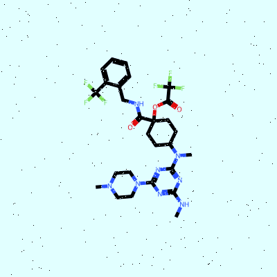 CNc1nc(N2CCN(C)CC2)nc(N(C)C2CCC(OC(=O)C(F)(F)F)(C(=O)NCc3ccccc3C(F)(F)F)CC2)n1